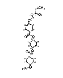 C=CC(=O)OCOc1ccc(C(=O)Oc2ccc(OC(=O)c3ccc(OCCC)cc3)cc2)cc1